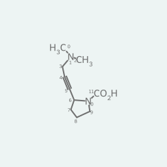 CN(C)CC#CC1CCCN1C(=O)O